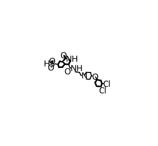 O=C(NCCCN1CCC(Oc2ccc(Cl)c(Cl)c2)CC1)c1c[nH]c(=O)c2cc([SH](=O)=O)ccc12